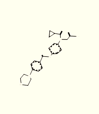 O=C(O)CN(C(=O)C1CC1)c1ccc(NC(=O)c2ccc(N3CCNCC3)cc2)cc1